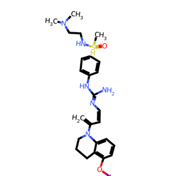 C=C(/C=C\N=C(/N)Nc1ccc([SH](C)(=O)NCCN(C)C)cc1)N1CCCc2c(OI)cccc21